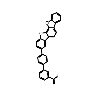 C=C(I)c1cccc(-c2ccc(-c3ccc4oc5c(ccc6c7ccccc7oc65)c4c3)cc2)c1